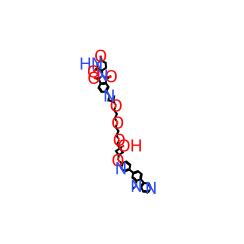 Cn1c2ccncc2c2ccc(-c3ccc(OC4CC(O)(COCCCOCCCOC5CN(c6ccc7c(c6)C(=O)N(C6CCC(=O)NC6=O)C7=O)C5)C4)nc3)cc21